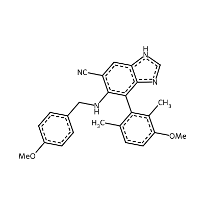 COc1ccc(CNc2c(C#N)cc3[nH]cnc3c2-c2c(C)ccc(OC)c2C)cc1